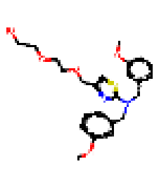 COc1cccc(CN(Cc2cccc(OC)c2)c2nc(COCCOCCO)cs2)c1